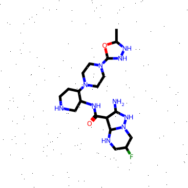 CC1NNC(N2CCN(C3CCNCC3NC(=O)C3C(N)NN4CC(F)CNC34)CC2)O1